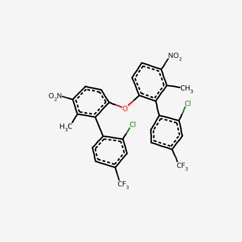 Cc1c([N+](=O)[O-])ccc(Oc2ccc([N+](=O)[O-])c(C)c2-c2ccc(C(F)(F)F)cc2Cl)c1-c1ccc(C(F)(F)F)cc1Cl